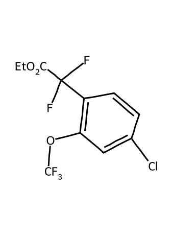 CCOC(=O)C(F)(F)c1ccc(Cl)cc1OC(F)(F)F